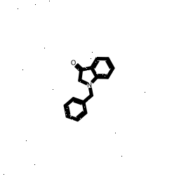 O=C1CN(Cc2ccccc2)c2ccccc21